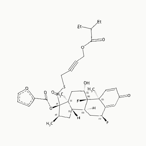 CCC(CC)C(=O)OCC#CCSC(=O)[C@@]1(OC(=O)c2ccco2)[C@H](C)C[C@H]2[C@@H]3C[C@H](F)C4=CC(=O)C=C[C@]4(C)[C@@]3(F)[C@@H](O)C[C@@]21C